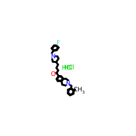 Cc1ccccc1CN1CCc2ccc(C(=O)CCCC3CCN(Cc4ccc(F)cc4)CC3)cc2CC1.Cl.Cl